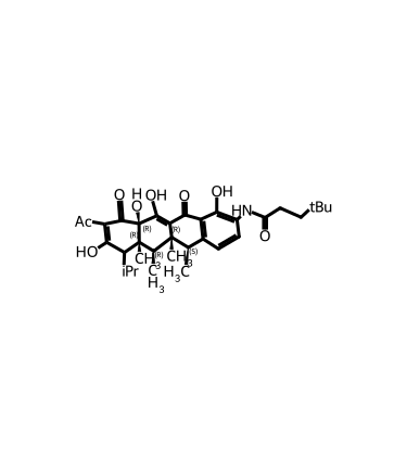 CC(=O)C1=C(O)C(C(C)C)[C@@]2(C)[C@H](C)[C@]3(C)C(=C(O)[C@@]2(O)C1=O)C(=O)c1c(ccc(NC(=O)CCC(C)(C)C)c1O)[C@H]3C